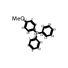 COc1ccc(P(c2ccccc2)c2ccccc2)cc1